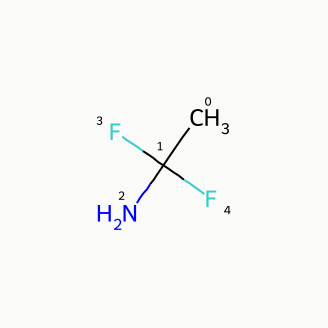 CC(N)(F)F